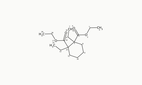 CCOC(=O)C1(CC)CCCCC1(CC)C(=O)OCC